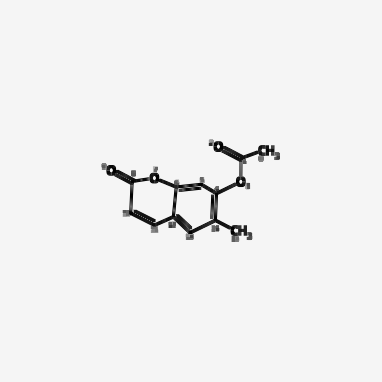 CC(=O)Oc1cc2oc(=O)ccc2cc1C